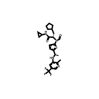 Cc1ncc(C(F)(F)F)cc1N[C@H](C)c1ccc(N(C=O)[C@@H](CC2CCCC2)C(=O)NC2CC2)s1